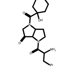 CC(C)CC(N)C(=O)N1CCC2C1C(=O)CN2C(=O)C1(O)CCCCC1